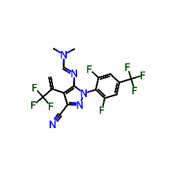 C=C(c1c(C#N)nn(-c2c(F)cc(C(F)(F)F)cc2F)c1N=CN(C)C)C(F)(F)F